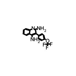 Nc1nc2ccccc2c(N)c1-c1ccc(OC(F)(F)F)cc1